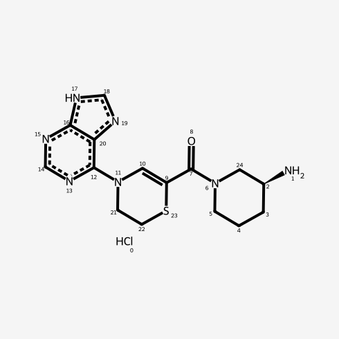 Cl.N[C@H]1CCCN(C(=O)C2=CN(c3ncnc4[nH]cnc34)CCS2)C1